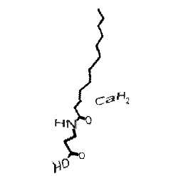 CCCCCCCCCCCC(=O)NCCC(=O)O.[CaH2]